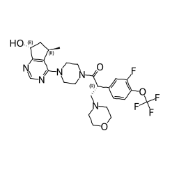 C[C@@H]1C[C@@H](O)c2ncnc(N3CCN(C(=O)[C@@H](CN4CCOCC4)c4ccc(OC(F)(F)F)c(F)c4)CC3)c21